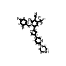 N#Cc1c(C(F)(F)F)cc(-c2cc(-c3ccc(N4CCNCC4)nc3)co2)n(Cc2ccc(F)cc2F)c1=O